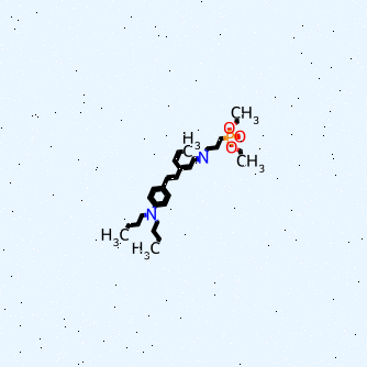 C\C=C/C(C=Cc1ccc(N(CCCC)CCCC)cc1)=C\C=N\CCCP(=O)(OCC)OCC